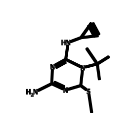 CSC1N=C(N)N=C(NC2C#C2)N1C(C)(C)C